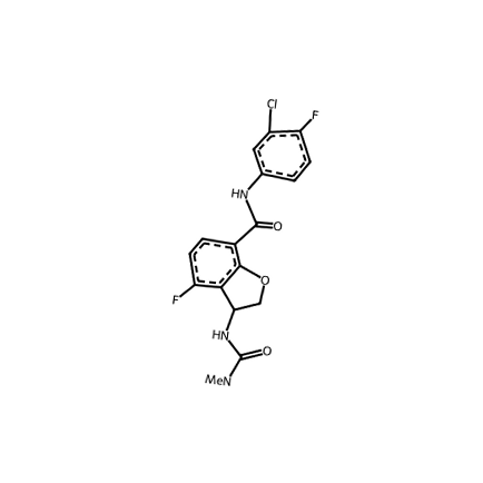 CNC(=O)NC1COc2c(C(=O)Nc3ccc(F)c(Cl)c3)ccc(F)c21